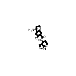 N[C@@H]1CCSc2cc(C(=O)Nc3ccnc4[nH]ncc34)c(Cl)cc21